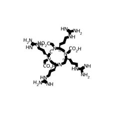 N=C(N)NCCC[C@H]1CN(CC(=O)O)[C@@H](CCCNC(=N)N)CN(CC(=O)O)[C@@H](CCCNC(=N)N)CN(CC(=O)O)[C@@H](CCCNC(=N)N)CN1